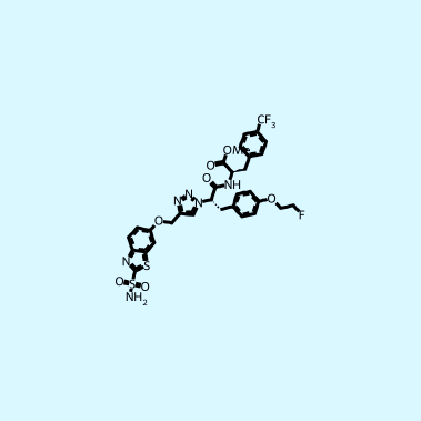 COC(=O)[C@@H](Cc1ccc(C(F)(F)F)cc1)NC(=O)[C@H](Cc1ccc(OCCF)cc1)n1cc(COc2ccc3nc(S(N)(=O)=O)sc3c2)nn1